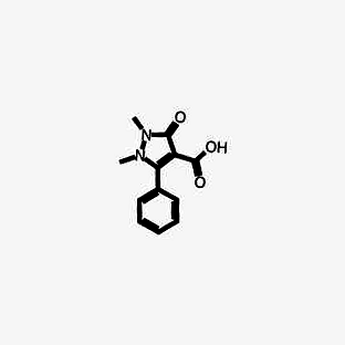 Cn1c(-c2ccccc2)c(C(=O)O)c(=O)n1C